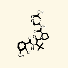 CC(C)(C)[C@H](NC(=O)c1cccc(O)c1Cl)C(=O)N1CCC[C@H]1C(=O)N[C@H](C=O)CC(=O)O